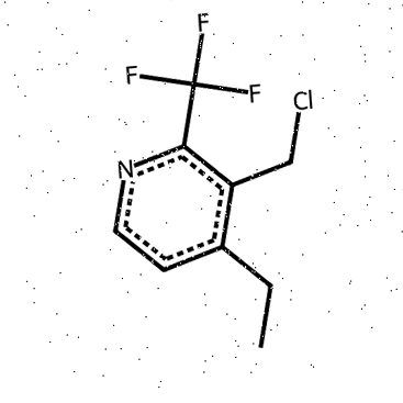 CCc1ccnc(C(F)(F)F)c1CCl